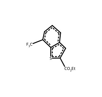 CCOC(=O)c1cc2cccc(C(F)(F)F)c2s1